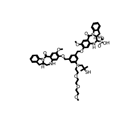 COCCOCCOCCN(CC(C)(C)S)c1cc(COc2cc3c(cc2OC)C(=O)N2c4ccccc4C[C@H]2CN3)cc(COc2cc3c(cc2OC)C(=O)N2c4ccccc4C[C@H]2C(S(=O)(=O)O)N3)c1